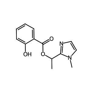 CC(OC(=O)c1ccccc1O)c1nccn1C